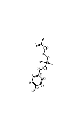 C=C(C)OCCC(C)(C)OCc1ccc(C)cc1